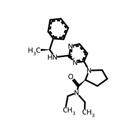 CCN(CC)C(=O)[C@@H]1CCCN1c1ccnc(N[C@@H](C)c2ccccc2)n1